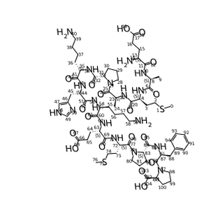 CSCC[C@H](NC(=O)[C@H](C)NC(=O)[C@@H](N)CCC(=O)O)C(=O)N[C@@H](C)C(=O)N1CCC[C@H]1C(=O)N[C@@H](CCCCN)C(=O)N[C@@H](Cc1c[nH]cn1)C(=O)N[C@@H](CCCCN)C(=O)N[C@@H](CCC(=O)O)C(=O)N[C@@H](CCSC)C(=O)N1CCC[C@H]1C(=O)N[C@@H](Cc1ccccc1)C(=O)N1CCC[C@H]1C(=O)O